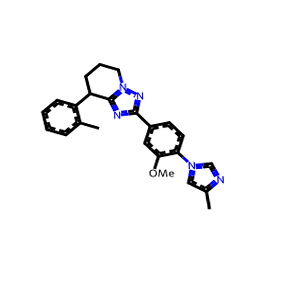 COc1cc(-c2nc3n(n2)CCCC3c2ccccc2C)ccc1-n1cnc(C)c1